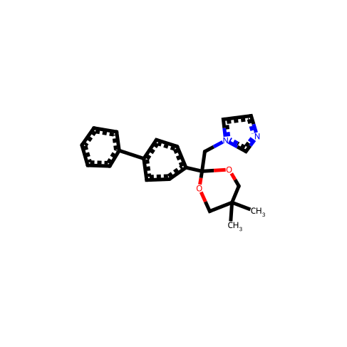 CC1(C)COC(Cn2ccnc2)(c2ccc(-c3ccccc3)cc2)OC1